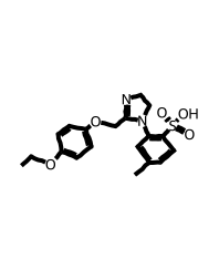 CCOc1ccc(OCC2=NCCN2c2cc(C)ccc2S(=O)(=O)O)cc1